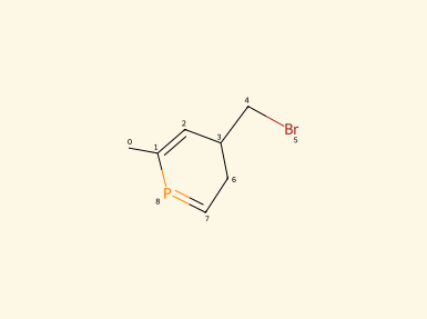 CC1=CC(CBr)CC=P1